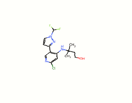 CC(C)(CCO)Nc1cc(Cl)ncc1-c1ccn(C(F)F)n1